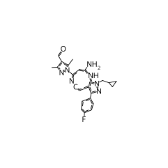 Cc1nn(-c2cc(N)[nH]c3c(ccn2)c(-c2ccc(F)cc2)nn3CC2CC2)c(C)c1C=O